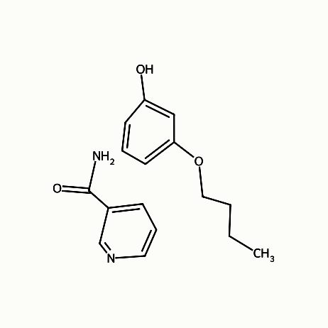 CCCCOc1cccc(O)c1.NC(=O)c1cccnc1